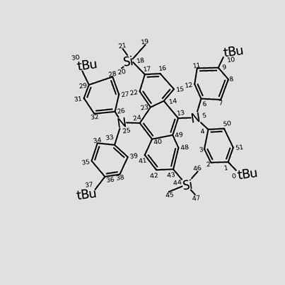 CC(C)(C)c1ccc(N(c2ccc(C(C)(C)C)cc2)c2c3ccc([Si](C)(C)C)cc3c(N(c3ccc(C(C)(C)C)cc3)c3ccc(C(C)(C)C)cc3)c3ccc([Si](C)(C)C)cc23)cc1